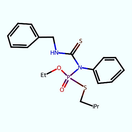 CCOP(=O)(SCC(C)C)N(C(=S)NCc1ccccc1)c1ccccc1